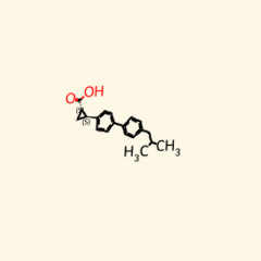 CC(C)Cc1ccc(-c2ccc([C@H]3C[C@@H]3C(=O)O)cc2)cc1